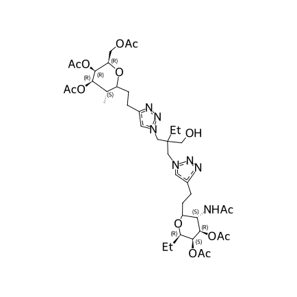 CC[C@H]1OC(CCc2cn(CC(CC)(CO)Cn3cc(CCC4O[C@H](COC(C)=O)[C@H](OC(C)=O)[C@H](OC(C)=O)[C@H]4C)nn3)nn2)[C@H](NC(C)=O)[C@@H](OC(C)=O)[C@H]1OC(C)=O